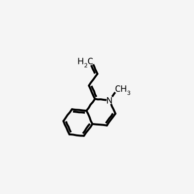 C=C/C=C1/c2ccccc2C=CN1C